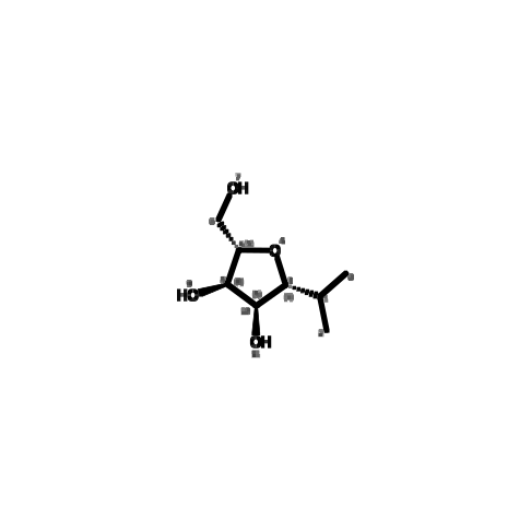 CC(C)[C@H]1O[C@@H](CO)[C@H](O)[C@@H]1O